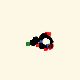 C[C@H]1C/C=C\[C@@H](O)[C@@H]2CC[C@H]2CN2C[C@@]3(CCCc4cc(Cl)ccc43)COc3ccc(cc32)C(=O)NS(=O)(=O)C1